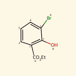 CCOC(=O)c1cccc(Br)c1O